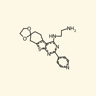 NCCNc1nc(-c2ccncc2)nc2sc3c(c12)CCC1(C3)OCCO1